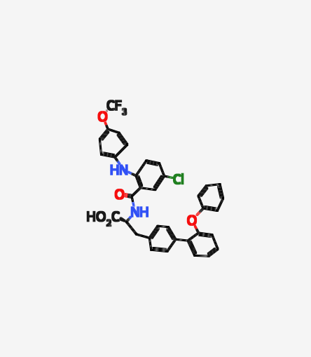 O=C(N[C@@H](Cc1ccc(-c2ccccc2Oc2ccccc2)cc1)C(=O)O)c1cc(Cl)ccc1Nc1ccc(OC(F)(F)F)cc1